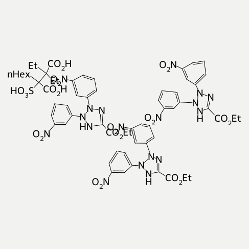 CCCCCCC(C(=O)O)(C(CC)(CC)C(=O)O)S(=O)(=O)O.CCOC(=O)C1=NN(c2cccc([N+](=O)[O-])c2)N(c2cccc([N+](=O)[O-])c2)N1.CCOC(=O)C1=NN(c2cccc([N+](=O)[O-])c2)N(c2cccc([N+](=O)[O-])c2)N1.CCOC(=O)C1=NN(c2cccc([N+](=O)[O-])c2)N(c2cccc([N+](=O)[O-])c2)N1